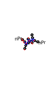 CCCc1ccc(-c2ccc(N(c3ccc(-c4ccccc4)cc3)c3ccc4c5c6ccccc6c(N(c6ccc(-c7ccccc7)cc6)c6ccc(-c7ccc(CCC)cc7)cc6)cc5n(-c5ccccc5)c4c3)cc2)cc1